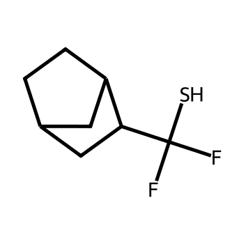 FC(F)(S)C1CC2CCC1C2